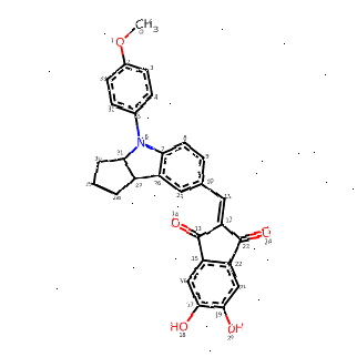 COc1ccc(N2c3ccc(C=C4C(=O)c5cc(O)c(O)cc5C4=O)cc3C3CCCC32)cc1